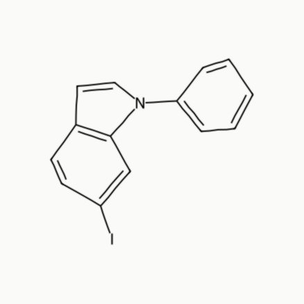 Ic1ccc2ccn(-c3ccccc3)c2c1